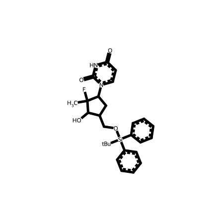 CC1(F)C(O)C(CO[Si](c2ccccc2)(c2ccccc2)C(C)(C)C)CC1n1ccc(=O)[nH]c1=O